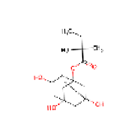 CCC(C)(C)C(=O)OC12CC3(O)CC(O)(CC(O)(C3)C1)C2